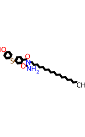 CCCCCCCCCCCCCCCCCCN(C(N)=O)C(=O)c1ccc(Sc2ccc(O)cc2)cc1